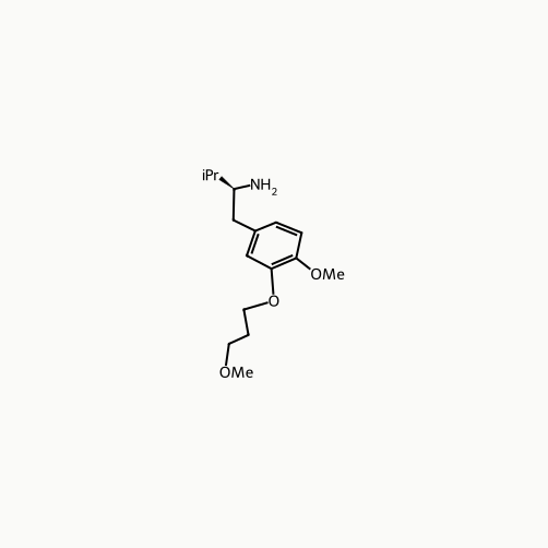 COCCCOc1cc(C[C@H](N)C(C)C)ccc1OC